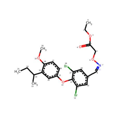 CCOC(=O)CO/N=C\c1cc(Br)c(Oc2ccc(OC)c(C(C)CC)c2)c(Br)c1